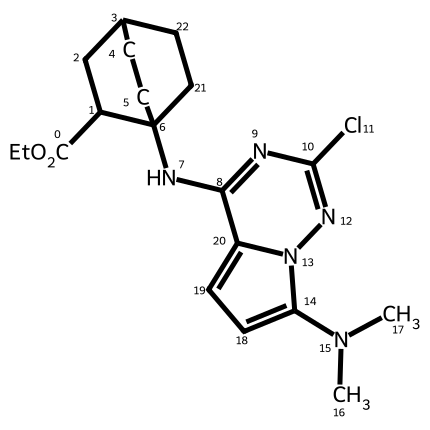 CCOC(=O)C1CC2CCC1(Nc1nc(Cl)nn3c(N(C)C)ccc13)CC2